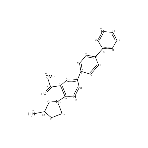 COC(=O)c1cc(-c2ccc(-c3cccnc3)cc2)cnc1N1CCC(N)C1